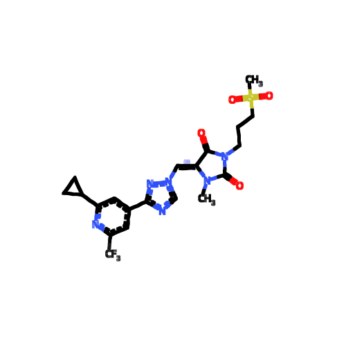 CN1C(=O)N(CCCS(C)(=O)=O)C(=O)/C1=C/n1cnc(-c2cc(C3CC3)nc(C(F)(F)F)c2)n1